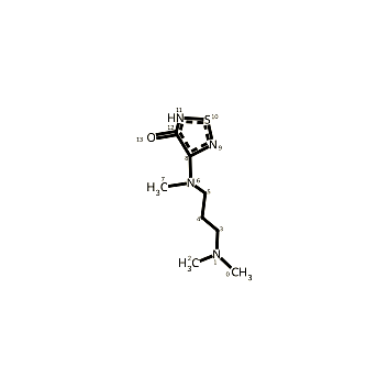 CN(C)CCCN(C)c1ns[nH]c1=O